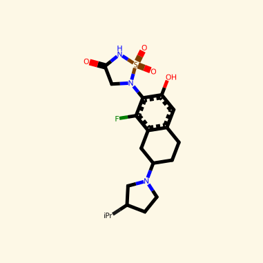 CC(C)C1CCN(C2CCc3cc(O)c(N4CC(=O)NS4(=O)=O)c(F)c3C2)C1